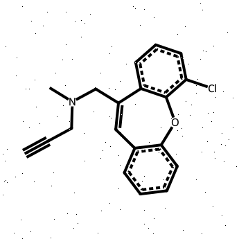 C#CCN(C)CC1=Cc2ccccc2Oc2c(Cl)cccc21